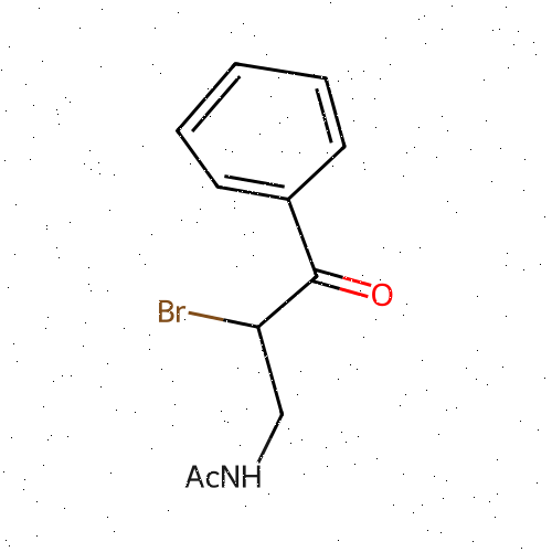 CC(=O)NCC(Br)C(=O)c1ccccc1